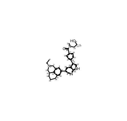 CCN1Cc2cc(-c3cnc4[nH]cc(-c5ccc(C(=O)N(C)C[C@@H](C)O)cc5)c4c3)cc3c2C(CCC3)C1